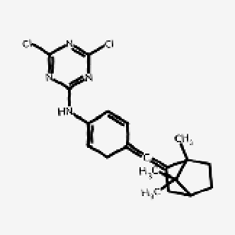 CC12CCC(CC1=C=C1C=CC(Nc3nc(Cl)nc(Cl)n3)=CC1)C2(C)C